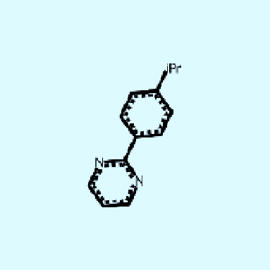 CC(C)c1ccc(-c2ncccn2)cc1